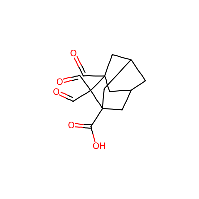 O=CC12CC3CC(C1)CC(C(=O)O)(C3)C2(C=O)C=O